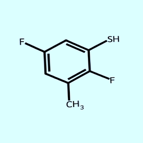 Cc1cc(F)cc(S)c1F